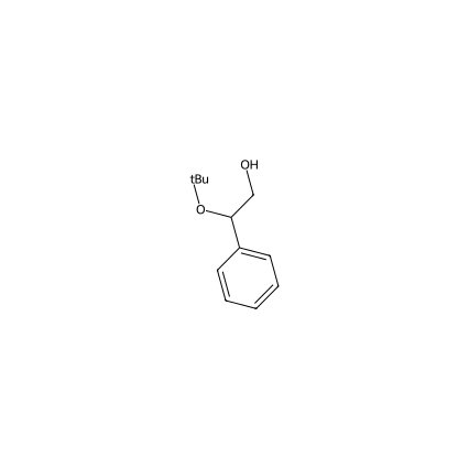 CC(C)(C)OC(CO)c1ccccc1